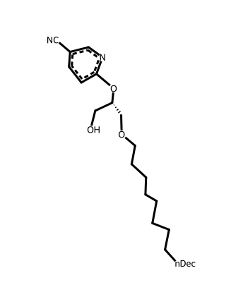 CCCCCCCCCCCCCCCCCCOC[C@H](CO)Oc1ccc(C#N)cn1